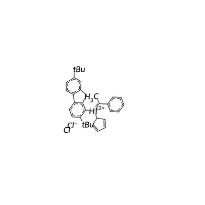 C[C](c1ccccc1)=[Hf+2]([c]1c(C(C)(C)C)ccc2c1Cc1cc(C(C)(C)C)ccc1-2)[CH]1C=CC=C1.[Cl-].[Cl-]